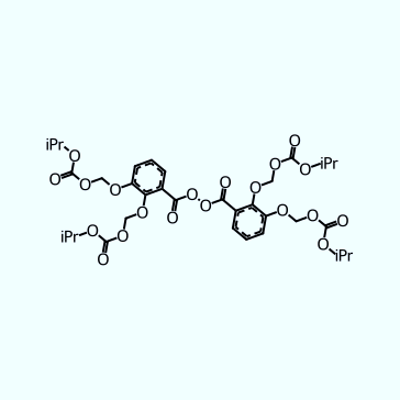 CC(C)OC(=O)OCOc1cccc(C(=O)OOC(=O)c2cccc(OCOC(=O)OC(C)C)c2OCOC(=O)OC(C)C)c1OCOC(=O)OC(C)C